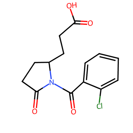 O=C(O)CCC1CCC(=O)N1C(=O)c1ccccc1Cl